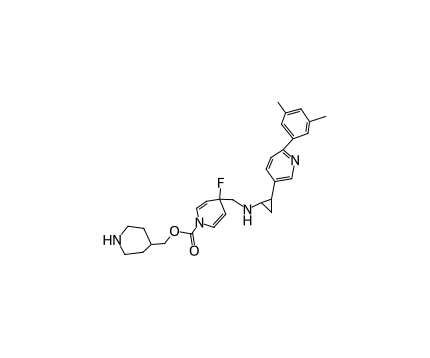 Cc1cc(C)cc(-c2ccc(C3CC3NCC3(F)C=CN(C(=O)OCC4CCNCC4)C=C3)cn2)c1